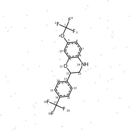 FC(F)(F)Oc1ccc2c(c1)OC(c1ccc(C(F)(F)F)cc1)CN2